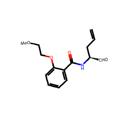 C=CC[C@@H](C=O)NC(=O)c1ccccc1OCCOC